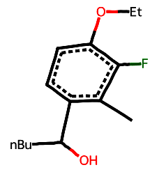 CCCCC(O)c1ccc(OCC)c(F)c1C